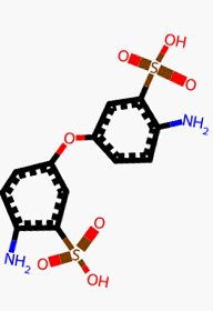 Nc1ccc(Oc2ccc(N)c(S(=O)(=O)O)c2)cc1S(=O)(=O)O